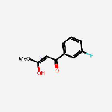 CO/C(O)=C/C(=O)c1cccc(F)c1